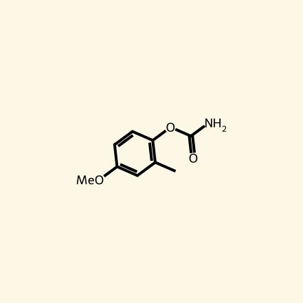 COc1ccc(OC(N)=O)c(C)c1